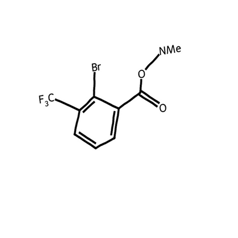 CNOC(=O)c1cccc(C(F)(F)F)c1Br